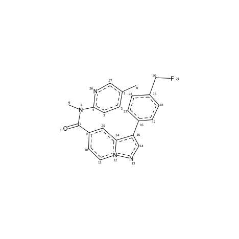 Cc1ccc(N(C)C(=O)c2ccn3ncc(-c4ccc(CF)cc4)c3c2)nc1